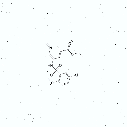 C=N/C=C(\C=C(/C)C(=O)OCC)NS(=O)(=O)c1cc(Cl)ccc1OC